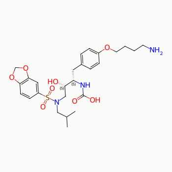 CC(C)CN(C[C@H](O)[C@H](Cc1ccc(OCCCCN)cc1)NC(=O)O)S(=O)(=O)c1ccc2c(c1)OCO2